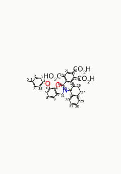 Cc1ccc(Oc2cccc(CN(C(=O)c3cc(C(=O)O)c(C(=O)O)cc3C(=O)O)[C@H]3CCCc4ccccc43)c2)cc1